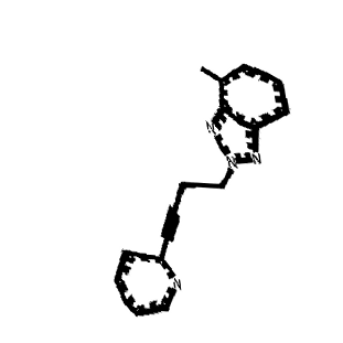 Cc1cccc2nn(CCC#Cc3ccccn3)nc12